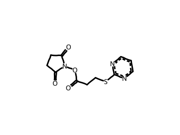 O=C(CCSc1ncccn1)ON1C(=O)CCC1=O